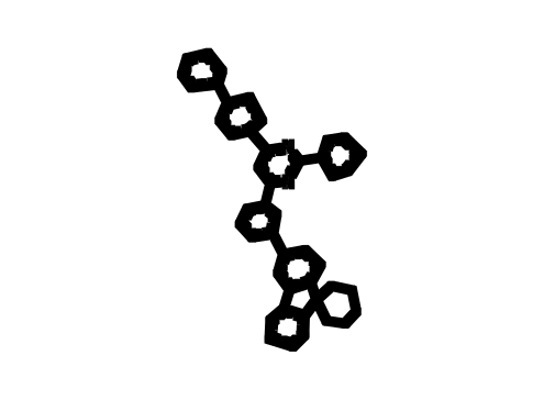 c1ccc(-c2ccc(-c3cc(-c4cccc(-c5ccc6c(c5)-c5ccccc5C65CCCCC5)c4)nc(-c4ccccc4)n3)cc2)cc1